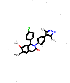 CC[C@@H](C)Oc1cc2c(cc1OC)CC(=O)N(c1ccc(-c3c(C)n[nH]c3C)cc1)C2c1ccc(Cl)cc1